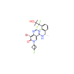 C[C@H](Nc1ncnc2c(Br)c(=O)n(C34CC(F)(C3)C4)cc12)c1cccc(C(F)(F)C(C)(C)O)c1F